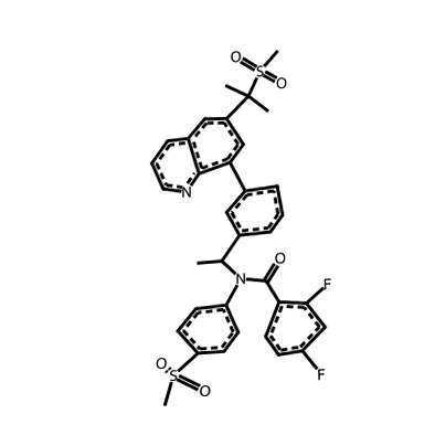 CC(c1cccc(-c2cc(C(C)(C)S(C)(=O)=O)cc3cccnc23)c1)N(C(=O)c1ccc(F)cc1F)c1ccc(S(C)(=O)=O)cc1